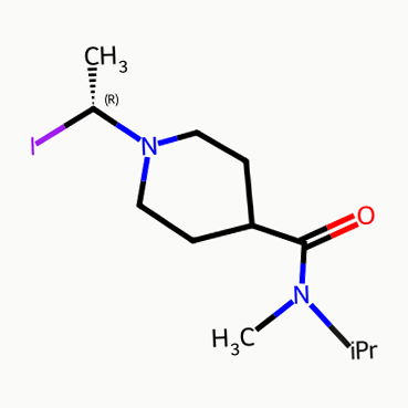 CC(C)N(C)C(=O)C1CCN([C@@H](C)I)CC1